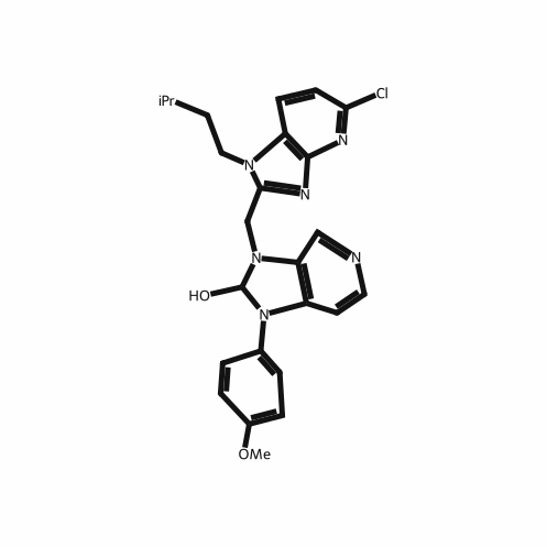 COc1ccc(N2c3ccncc3N(Cc3nc4nc(Cl)ccc4n3CCC(C)C)C2O)cc1